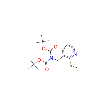 CSc1ncccc1CN(C(=O)OC(C)(C)C)C(=O)OC(C)(C)C